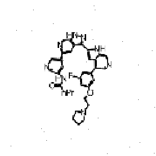 CCCC(=O)Nc1cncc(-c2cc3c(-c4cc5c(-c6cc(F)cc(OCCN7CCCC7)c6)cncc5[nH]4)n[nH]c3cn2)c1